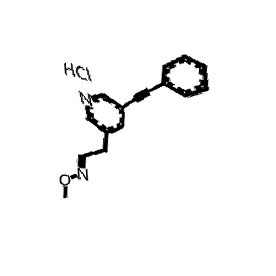 CON=CCc1cncc(C#Cc2ccccc2)c1.Cl